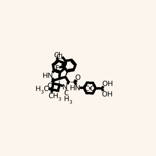 CN1[C@@H](C(=O)NC23CCC(C(O)O)(CC2)CC3)[C@H](c2cccc(Cl)c2F)[C@]2(C(=O)Nc3cc(Cl)ccc32)C12CC(C)(C)C2